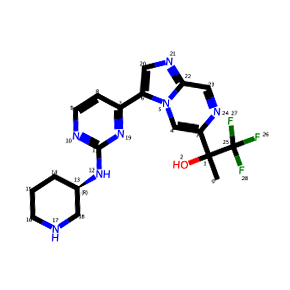 CC(O)(c1cn2c(-c3ccnc(N[C@@H]4CCCNC4)n3)cnc2cn1)C(F)(F)F